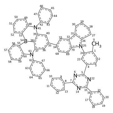 Cc1ccc(-c2nc(-c3ccccc3)nc(-c3ccccc3)n2)cc1-n1c2ccccc2c2cc(-c3cc4c5c(c3)N(c3ccccc3)c3ccccc3B5c3ccccc3N4c3ccccc3)ccc21